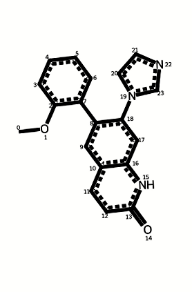 COc1ccccc1-c1cc2ccc(=O)[nH]c2cc1-n1ccnc1